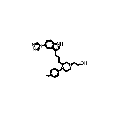 OCCN1CCN(c2ccc(F)cc2)C(CCCc2c[nH]c3ccc(-n4cnnc4)cc23)C1